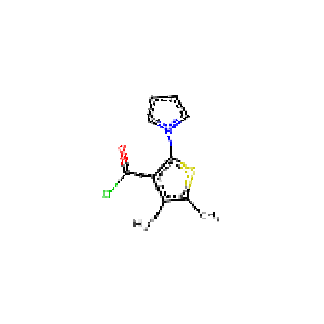 Cc1sc(-n2cccc2)c(C(=O)Cl)c1C